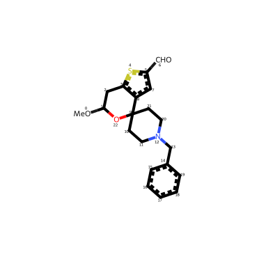 COC1Cc2sc(C=O)cc2C2(CCN(Cc3ccccc3)CC2)O1